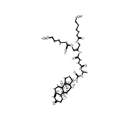 CCCCCCCCCCCCCCCC(=O)OCC(COC(=O)CCCCCCCCCCCCCCC)OC(=O)CCC(=O)OC(C)OC(=O)O[C@H]1CC[C@H]2[C@@H]3CCC4=CC(=O)CC[C@]4(C)[C@H]3CC[C@]12C